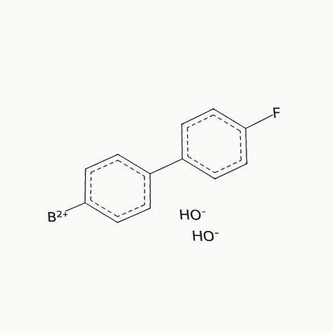 [B+2]c1ccc(-c2ccc(F)cc2)cc1.[OH-].[OH-]